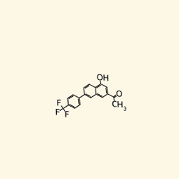 CC(=O)c1cc(O)c2ccc(-c3ccc(C(F)(F)F)cc3)cc2c1